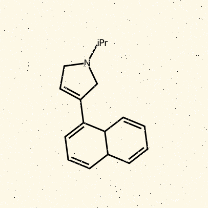 CC(C)N1CC=C(C2=CC=CC3C=CC=CC23)C1